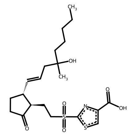 CCCCCC(C)(O)CC=C[C@H]1CCC(=O)[C@@H]1CCS(=O)(=O)c1nc(C(=O)O)cs1